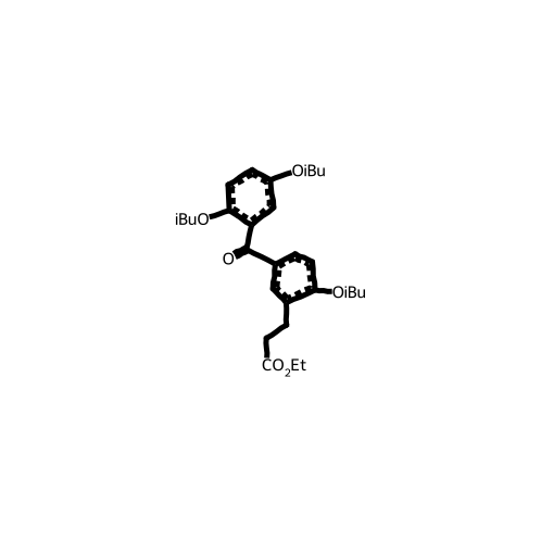 CCOC(=O)CCc1cc(C(=O)c2cc(OCC(C)C)ccc2OCC(C)C)ccc1OCC(C)C